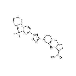 O=C(O)[C@@H]1CCN(Cc2ccc(-c3noc(-c4ccc(C5CCCCC5)c(C(F)(F)F)c4)n3)cc2Br)C1